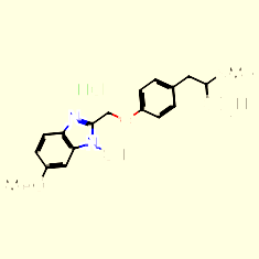 COc1ccc2nc(COc3ccc(CC(SC)C(=O)O)cc3)n(C)c2c1.Cl